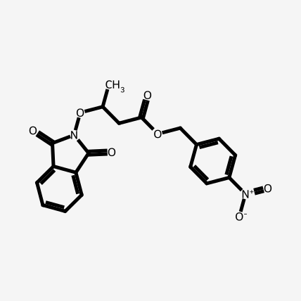 CC(CC(=O)OCc1ccc([N+](=O)[O-])cc1)ON1C(=O)c2ccccc2C1=O